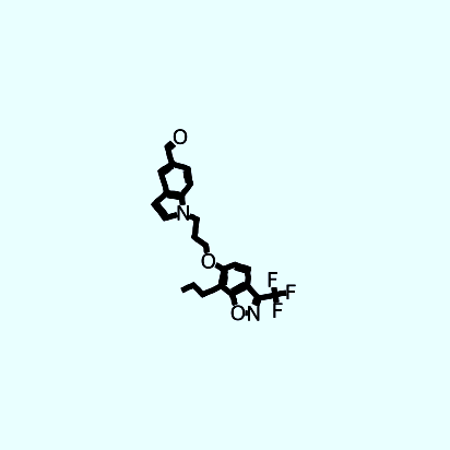 CCCc1c(OCCCn2ccc3cc(C=O)ccc32)ccc2c(C(F)(F)F)noc12